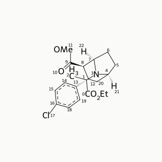 CCOC(=O)C(C)N1[C@H]2CC[C@@H]1[C@H](C(=O)OC)[C@@H](c1ccc(Cl)cc1)C2